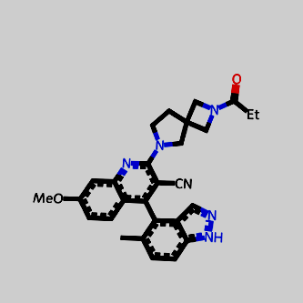 CCC(=O)N1CC2(CCN(c3nc4cc(OC)ccc4c(-c4c(C)ccc5[nH]ncc45)c3C#N)C2)C1